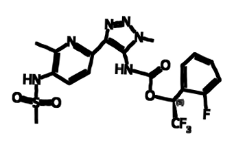 Cc1nc(-c2nnn(C)c2NC(=O)O[C@@H](c2ccccc2F)C(F)(F)F)ccc1NS(C)(=O)=O